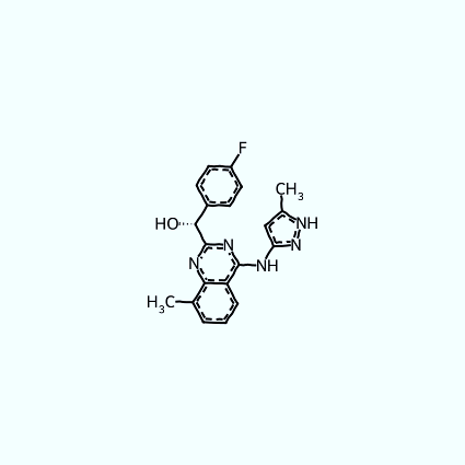 Cc1cc(Nc2nc([C@H](O)c3ccc(F)cc3)nc3c(C)cccc23)n[nH]1